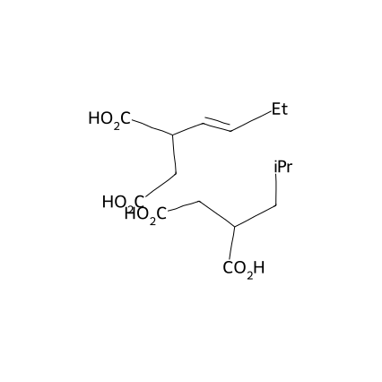 CC(C)CC(CC(=O)O)C(=O)O.CCC=CC(CC(=O)O)C(=O)O